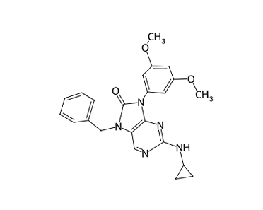 COc1cc(OC)cc(-n2c(=O)n(Cc3ccccc3)c3cnc(NC4CC4)nc32)c1